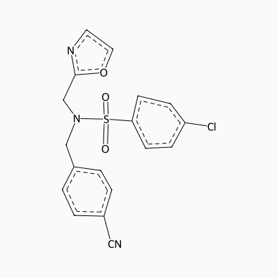 N#Cc1ccc(CN(Cc2ncco2)S(=O)(=O)c2ccc(Cl)cc2)cc1